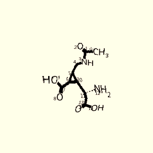 CC(=O)NCC1C(C(=O)O)C1[C@H](N)C(=O)O